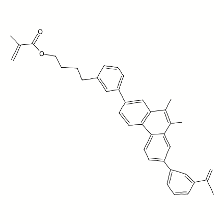 C=C(C)C(=O)OCCCCc1cccc(-c2ccc3c(c2)c(C)c(C)c2cc(-c4cccc(C(=C)C)c4)ccc23)c1